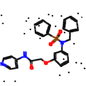 O=C(COc1cccc(N(Cc2ccccc2)S(=O)(=O)c2ccccc2)c1)Nc1ccncc1